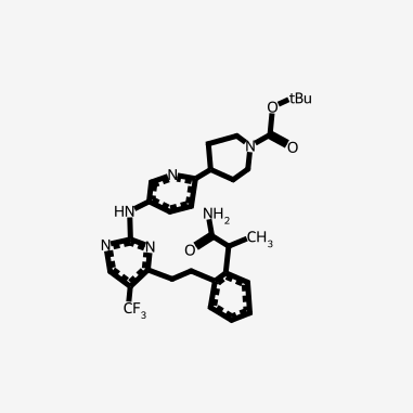 CC(C(N)=O)c1ccccc1CCc1nc(Nc2ccc(C3CCN(C(=O)OC(C)(C)C)CC3)nc2)ncc1C(F)(F)F